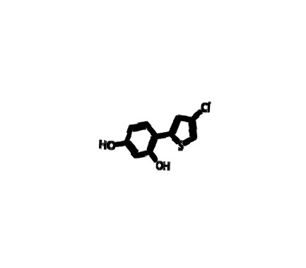 Oc1ccc(-c2cc(Cl)cs2)c(O)c1